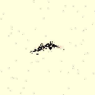 CN(C)CCC(=O)Nc1ccc2c(=O)n(CC3(O)CCN(C(=O)c4cn(CCN)nc4C4CC4)CC3)cnc2c1